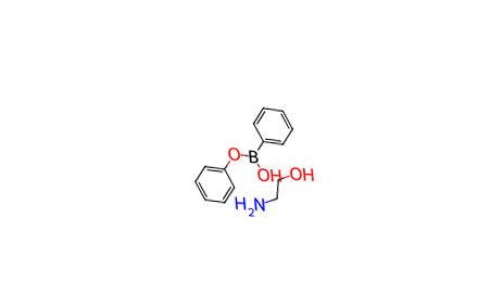 NCCO.OB(Oc1ccccc1)c1ccccc1